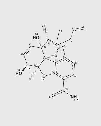 C=CC[N+]1(C)CC[C@]23c4c5ccc(C(N)=O)c4O[C@H]2[C@@H](O)C=C[C@@]3(O)[C@H]1C5